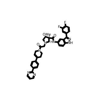 CO[C@@]1(C(=O)Nc2ccc3[nH]nc(-c4ccc(F)c(F)c4)c3c2)CCN(CC(=O)N2CC=C(c3ccc(-c4ncccn4)cc3)CC2)C1